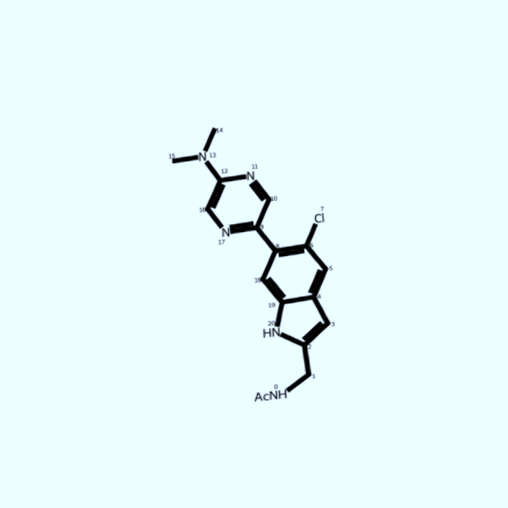 CC(=O)NCc1cc2cc(Cl)c(-c3cnc(N(C)C)cn3)cc2[nH]1